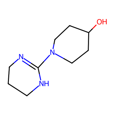 OC1CCN(C2=NCCCN2)CC1